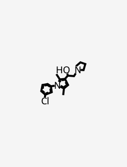 Cc1cc(C(O)CN2CCCC2)c(C)n1-c1cccc(Cl)c1